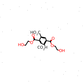 O=C(O)c1cc(C(=O)OCCO)c(C(=O)O)cc1C(=O)OCCO